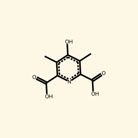 Cc1c(C(=O)O)nc(C(=O)O)c(C)c1O